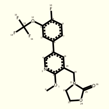 COc1ncc(-c2ccc(F)c(OC(F)(F)F)c2)cc1CN1CCOC1=O